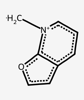 [CH2][n+]1cccc2ccoc21